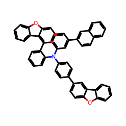 c1cc(-c2ccc3ccccc3c2)cc(N(c2ccc(-c3ccc4oc5ccccc5c4c3)cc2)c2ccccc2-c2cccc3oc4ccccc4c23)c1